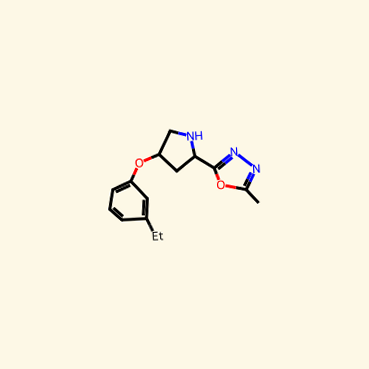 CCc1cccc(OC2CNC(c3nnc(C)o3)C2)c1